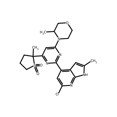 Cc1cc2c(-c3nc(N4CCOCC4C)cc(C4(C)CCCS4(=O)=O)n3)cc(Cl)nc2[nH]1